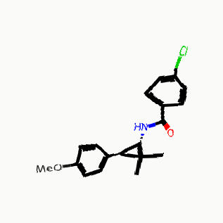 COc1ccc([C@H]2[C@H](NC(=O)c3ccc(Cl)cc3)C2(C)C)cc1